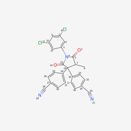 CC1C(=O)N(c2cc(Cl)cc(Cl)c2)C(=O)C1(c1ccc(C#N)cc1)c1ccc(C#N)cc1